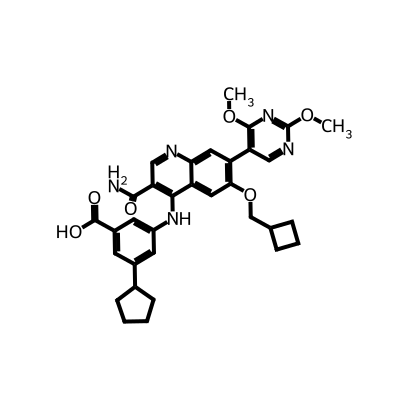 COc1ncc(-c2cc3ncc(C(N)=O)c(Nc4cc(C(=O)O)cc(C5CCCC5)c4)c3cc2OCC2CCC2)c(OC)n1